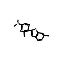 Cc1ccc2nc(-c3ccc(N(C)C)nc3C)sc2c1